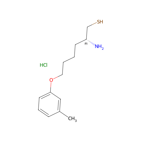 Cc1cccc(OCCCC[C@@H](N)CS)c1.Cl